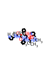 CC(C)[C@H](NC(=O)N(C)Cc1cccnc1)C(=O)N[C@@H](Cc1ccccc1)[C@@H](O)[C@H](O)[C@H](Cc1ccccc1)NC(=O)[C@@H](NC(=O)N(C)Cc1cccnc1)C(C)C